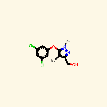 CCc1c(CO)nn(C(C)C)c1Oc1cc(Cl)cc(Cl)c1